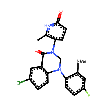 CNc1cc(F)ccc1N1CN(c2ccc(=O)[nH]c2C)C(=O)c2cc(Cl)ccc21